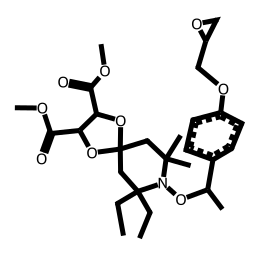 CCC1(CC)CC2(CC(C)(C)N1OC(C)c1ccc(OCC3CO3)cc1)OC(C(=O)OC)C(C(=O)OC)O2